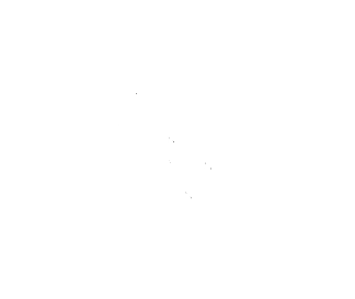 CC(C)(C)CC(NC(=O)c1nc2ccccc2[nH]1)C(=O)O